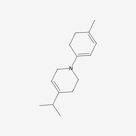 CC1=CC=C(N2CC=C(C(C)C)CC2)CC1